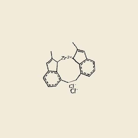 CC1=Cc2cccc3c2[CH]1[Zr+2][CH]1C(C)=Cc2cccc(c21)CC3.[Cl-].[Cl-]